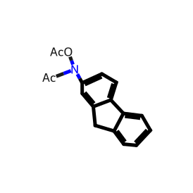 CC(=O)ON(C(C)=O)c1ccc2c(c1)Cc1ccccc1-2